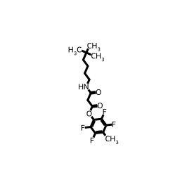 Cc1c(F)c(F)c(OC(=O)CC(=O)NCCCCC(C)(C)C)c(F)c1F